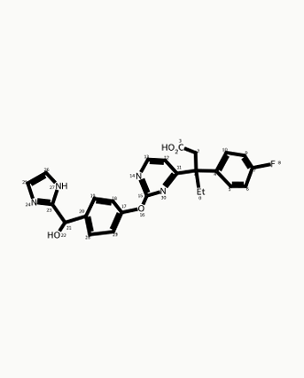 CCC(CC(=O)O)(c1ccc(F)cc1)c1ccnc(Oc2ccc(C(O)c3ncc[nH]3)cc2)n1